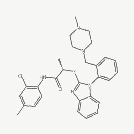 Cc1ccc(NC(=O)[C@@H](C)Sc2nc3ccccc3n2-c2ccccc2CN2CCN(C)CC2)c(Cl)c1